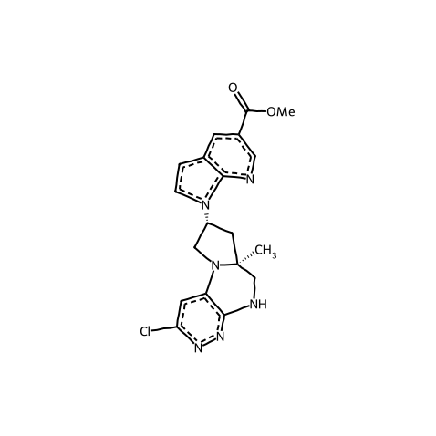 COC(=O)c1cnc2c(ccn2[C@H]2CN3c4cc(Cl)nnc4NC[C@]3(C)C2)c1